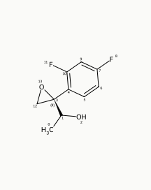 CC(O)[C@@]1(c2ccc(F)cc2F)CO1